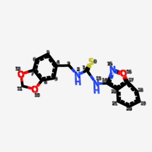 S=C(NCc1ccc2c(c1)OCO2)Nc1noc2ccccc12